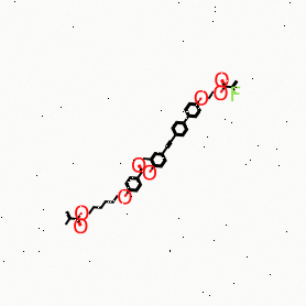 C=C(C)C(=O)OCCCCCCOc1ccc(C(=O)Oc2ccc(C#Cc3ccc(-c4ccc(OCCOC(=O)C(=C)F)cc4)cc3)cc2C)cc1